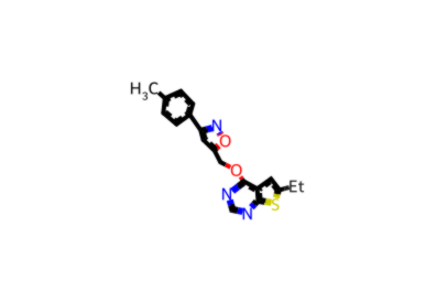 CCc1cc2c(OCc3cc(-c4ccc(C)cc4)no3)ncnc2s1